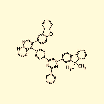 CC1(C)c2ccccc2-c2ccc(-c3cc(-c4ccc(-c5c(-c6ccc7c(c6)C6C=CC=CC6O7)cnc6ncccc56)cc4)nc(-c4ccccc4)n3)cc21